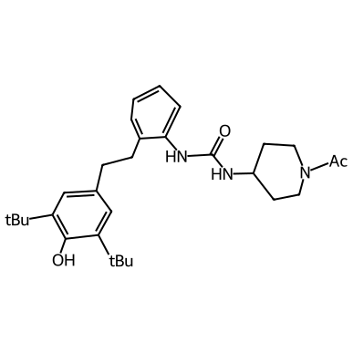 CC(=O)N1CCC(NC(=O)Nc2ccccc2CCc2cc(C(C)(C)C)c(O)c(C(C)(C)C)c2)CC1